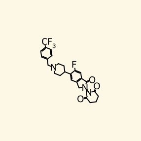 O=C1c2cc(F)c(C3CCN(Cc4ccc(C(F)(F)F)cc4)CC3)cc2CN1N1C(=O)CCCC1=O